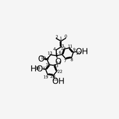 CC(C)=CCC1(c2ccc(O)cc2)CC(=O)c2c(O)cc(O)cc2O1